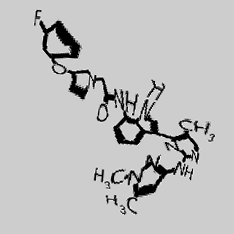 Cc1cnc(Nc2cc(C)n(C)n2)nc1-c1c[nH]c2c(NC(=O)CN3CCC(Oc4cccc(F)c4)C3)cccc12